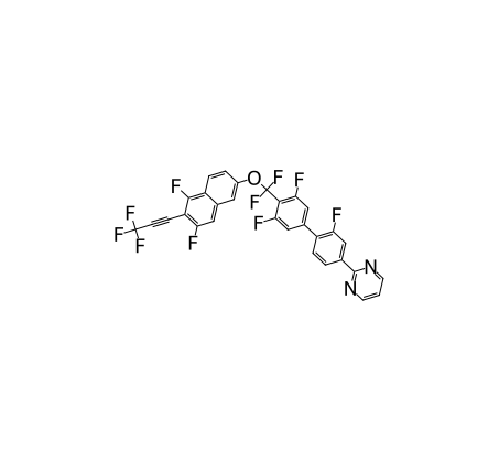 Fc1cc(-c2ncccn2)ccc1-c1cc(F)c(C(F)(F)Oc2ccc3c(F)c(C#CC(F)(F)F)c(F)cc3c2)c(F)c1